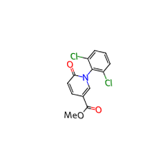 COC(=O)c1ccc(=O)n(-c2c(Cl)cccc2Cl)c1